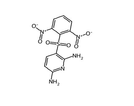 Nc1ccc(S(=O)(=O)c2c([N+](=O)[O-])cccc2[N+](=O)[O-])c(N)n1